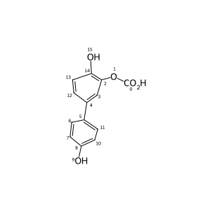 O=C(O)Oc1cc(-c2ccc(O)cc2)ccc1O